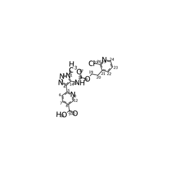 Cn1nnc(-c2ccc(C(=O)O)cn2)c1NC(=O)OCCc1cccnc1Cl